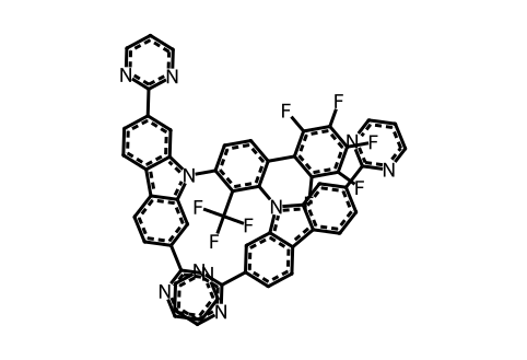 Fc1c(F)c(F)c(-c2ccc(-n3c4cc(-c5ncccn5)ccc4c4ccc(-c5ncccn5)cc43)c(C(F)(F)F)c2-n2c3cc(-c4ncccn4)ccc3c3ccc(-c4ncccn4)cc32)c(F)c1F